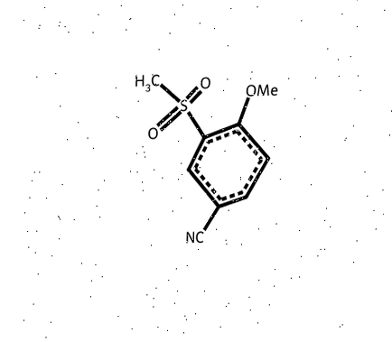 COc1ccc(C#N)cc1S(C)(=O)=O